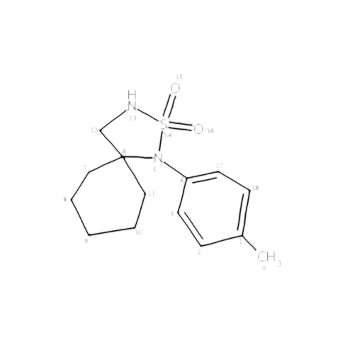 Cc1ccc(N2C3(CCCCC3)CNS2(=O)=O)cc1